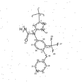 Cn1nc(C(C)(C)C)cc1N(C(N)=O)c1ccc(Sc2ccncc2)c(C(F)(F)F)c1